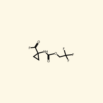 O=C(NC1(C(=O)F)CC1)OCC(F)(F)F